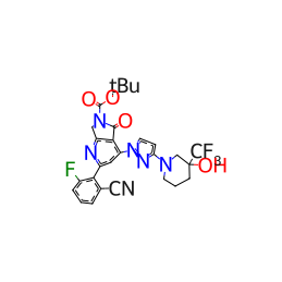 CC(C)(C)OC(=O)N1Cc2nc(-c3c(F)cccc3C#N)cc(-n3ccc(N4CCCC(O)(C(F)(F)F)C4)n3)c2C1=O